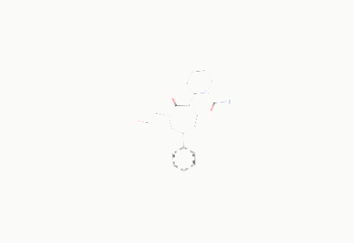 COCCN1CC(c2ccccc2)CCC(C2CCCCN2C(N)=O)C1=O